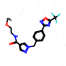 COCCNC(=O)c1cnn(Cc2ccc(-c3noc(C(F)(F)F)n3)cc2)c1